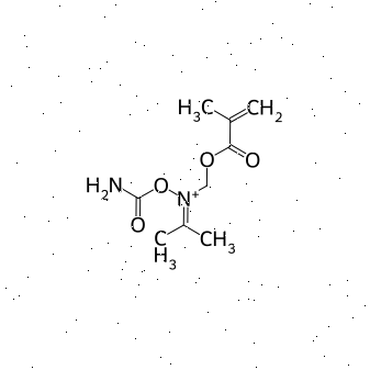 C=C(C)C(=O)OC[N+](OC(N)=O)=C(C)C